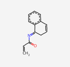 C=CC(=O)N=C1CC=Cc2ccccc21